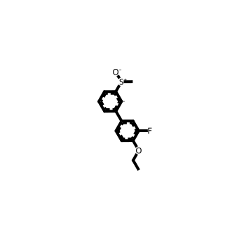 CCOc1ccc(-c2[c]c([S+](C)[O-])ccc2)cc1F